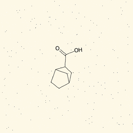 O=C(O)C1[CH]C2CCC1C2